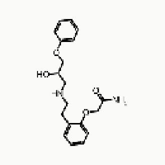 NC(=O)COc1ccccc1CCNCC(O)COc1ccccc1